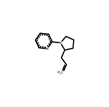 C=CCC1CCCN1c1ccccn1